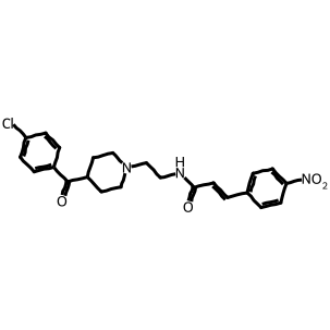 O=C(/C=C/c1ccc([N+](=O)[O-])cc1)NCCN1CCC(C(=O)c2ccc(Cl)cc2)CC1